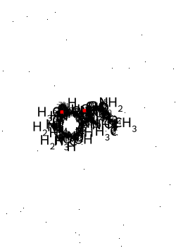 CCCC(C)OC(=O)c1ccc(C(=O)N[C@@H](CCN)C(=O)N[C@H](C(=O)N[C@@H](CCN)C(=O)N[C@H]2CCNC(=O)[C@H]([C@H](C)O)NC(=O)[C@H](CCN)NC(=O)[C@H](CCN)NC(=O)[C@H](CC(C)C)NC(=O)[C@@H](Cc3ccccc3)NC(=O)[C@H](CCN)NC2)C(C)O)cc1